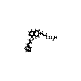 O=C(O)CCCN1CCc2cccc(OCCCc3cncs3)c2CC1